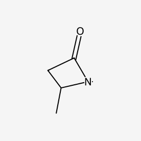 CC1CC(=O)[N]1